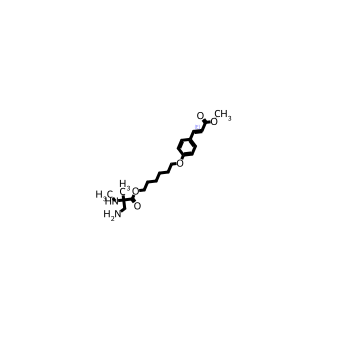 CNC(C)(CN)C(=O)OCCCCCCOc1ccc(/C=C/C(=O)OC)cc1